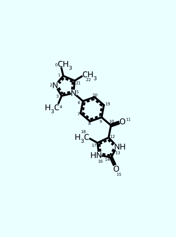 Cc1nc(C)n(-c2ccc(C(=O)c3[nH]c(=O)[nH]c3C)cc2)c1C